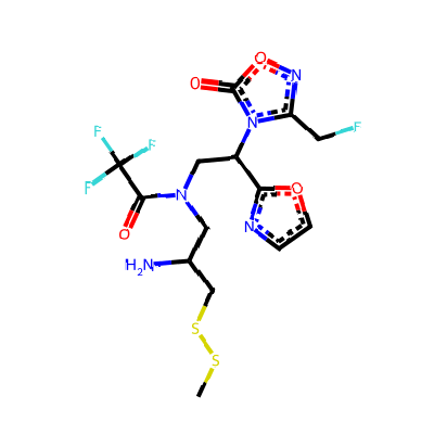 CSSCC(N)CN(CC(c1ncco1)n1c(CF)noc1=O)C(=O)C(F)(F)F